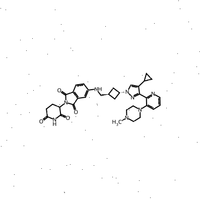 CN1CCN(c2cccnc2-c2nn([C@H]3C[C@H](CNc4ccc5c(c4)C(=O)N(C4CCC(=O)NC4=O)C5=O)C3)cc2C2CC2)CC1